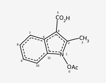 CC(=O)On1c(C)c(C(=O)O)c2ccccc21